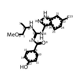 COCC(C)NC(=NC(=O)c1ccc(O)cc1)Nc1n[nH]c2cc(F)ccc12